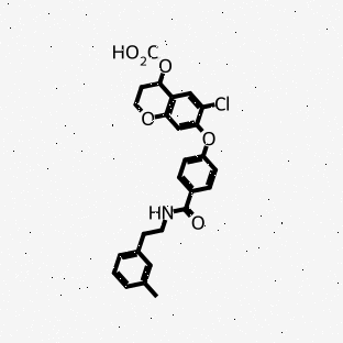 Cc1cccc(CCNC(=O)c2ccc(Oc3cc4c(cc3Cl)C(OC(=O)O)CCO4)cc2)c1